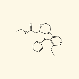 CCOC(=O)CC1OCCc2c1n(-c1ccccc1)c1c(CC)cccc21